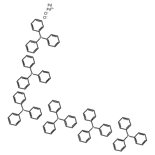 [Cl-].[Cl-].[Pd+2].[Pd].c1ccc(P(c2ccccc2)c2ccccc2)cc1.c1ccc(P(c2ccccc2)c2ccccc2)cc1.c1ccc(P(c2ccccc2)c2ccccc2)cc1.c1ccc(P(c2ccccc2)c2ccccc2)cc1.c1ccc(P(c2ccccc2)c2ccccc2)cc1.c1ccc(P(c2ccccc2)c2ccccc2)cc1